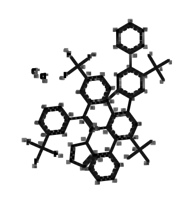 CC(C)(C)c1cc2c(cc1-c1ccccc1)Cc1c-2cc(C(C)(C)C)c(-c2ccccc2)[c]1[Zr+2](=[C](c1cccc(C(F)(F)F)c1)c1cccc(C(F)(F)F)c1)[CH]1C=CC=C1.[Cl-].[Cl-]